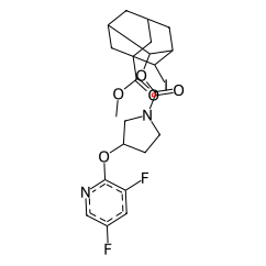 COC(=O)C12CC3CC(C1)C(OC(=O)N1CCC(Oc4ncc(F)cc4F)C1)C(C3)C2I